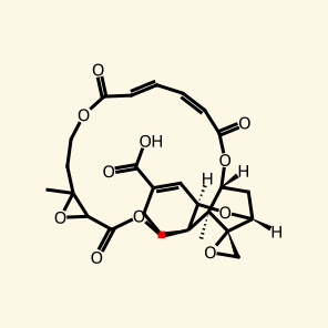 CC12CCOC(=O)/C=C/C=C\C(=O)O[C@@H]3C[C@H]4O[C@@H]5C=C(C(=O)O)CC[C@]5(COC(=O)C1O2)[C@]3(C)[C@]41CO1